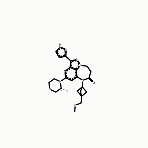 COCC12CC(N3C(=O)CCn4nc(-c5cc[nH]n5)c5nc(N6CCOC[C@H]6C)cc3c54)(C1)C2